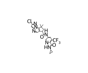 CC1(C)CC(C(=O)Nc2cnc(C(=O)NC3CC3)c(C(F)(F)F)c2)c2cnc3cc(Cl)nn3c21